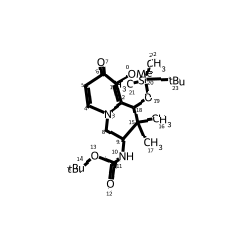 COc1c2n(ccc1=O)CC(NC(=O)OC(C)(C)C)C(C)(C)C2O[Si](C)(C)C(C)(C)C